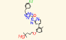 Cc1ccc(OCCCC(C)(C)O)cc1-c1ccnc(NC(=O)c2nnc(Cc3ccc(Cl)cc3)[nH]2)c1